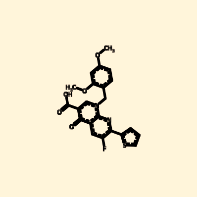 COc1ccc(Cn2cc(C(=O)O)c(=O)c3cc(F)c(-c4cccs4)nc32)c(OC)c1